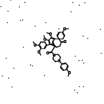 COC1=CCC2(C=C1)C(=O)CC1c3cc(OC)c(OC)c2c3C(c2ccc(OC)c(OC)c2)C1C(=O)N1CCN(c2ccc(OC)cc2)CC1